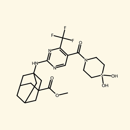 COC(=O)C12CC3CC(CC(Nc4ncc(C(=O)N5CCS(O)(O)CC5)c(C(F)(F)F)n4)(C3)C1)C2